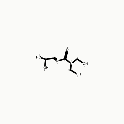 O=C(N=CC(O)O)N(CO)CO